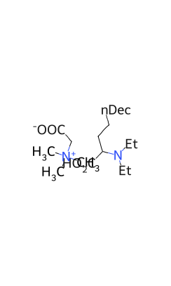 CCCCCCCCCCCCC(C(=O)O)N(CC)CC.C[N+](C)(C)CC(=O)[O-]